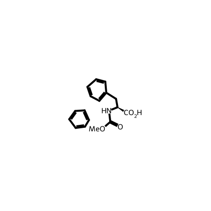 COC(=O)N[C@@H](Cc1ccccc1)C(=O)O.c1ccccc1